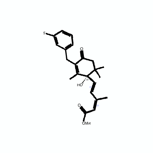 COC(=O)/C=C(C)\C=C\[C@@]1(O)C(C)=C(Cc2cccc(F)c2)C(=O)CC1(C)C